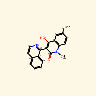 CSc1ccc2c(c1)c(O)c(-c1nccc3ccccc13)c(=O)n2C